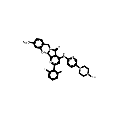 COc1ccc(CN2Cc3nc(-c4c(F)cccc4F)cc(Nc4ccc(N5CCN(C(C)(C)C)CC5)cn4)c3C2=O)c(OC)c1